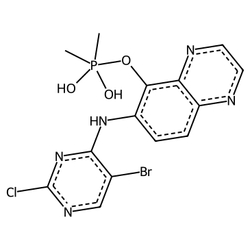 CP(C)(O)(O)Oc1c(Nc2nc(Cl)ncc2Br)ccc2nccnc12